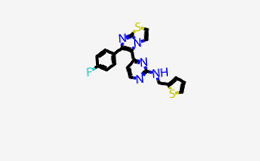 Fc1ccc(-c2nc3sccn3c2-c2ccnc(NCc3cccs3)n2)cc1